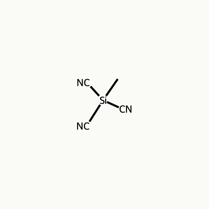 C[Si](C#N)(C#N)C#N